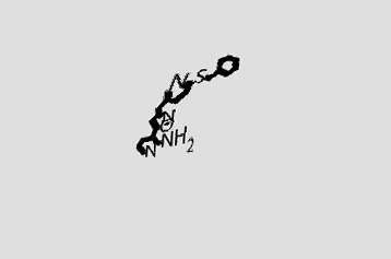 Nc1ncccc1-c1cc(Cc2ccc(SCc3ccccc3)nc2)no1